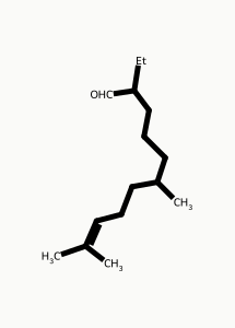 CCC(C=O)CCCC(C)CCC=C(C)C